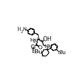 CC(C)(C)OC(=O)N[C@@H](Cc1ccc(N)cc1)[C@H](O)CNC1(c2cccc(C(C)(C)C)c2)CCCCC1